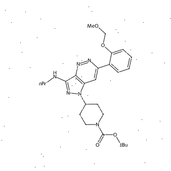 CCCNc1nn(C2CCN(C(=O)OC(C)(C)C)CC2)c2cc(-c3ccccc3OCOC)nnc12